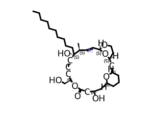 CCCCCCCCCC[C@]1(O)CCC[C@H](CO)OC(=O)C[C@H](O)C[C@@H]2CCC[C@H](C[C@@H]3CCO[C@H](/C=C/[C@@H]1C)O3)O2